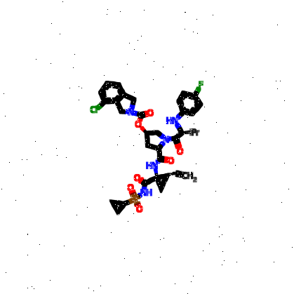 C=C[C@@H]1C[C@]1(NC(=O)C1C[C@@H](OC(=O)N2Cc3cccc(Cl)c3C2)CN1C(=O)[C@@H](Nc1ccc(F)cc1)C(C)C)C(=O)NS(=O)(=O)C1CC1